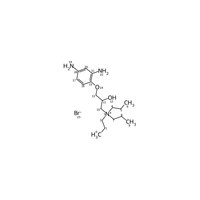 CCC[N+](CCC)(CCC)CC(O)COc1ccc(N)cc1N.[Br-]